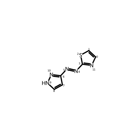 c1csc(N=Nc2cc[nH]n2)n1